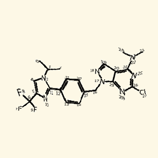 CC(C)n1cc(C(F)(F)F)nc1-c1ccc(Cn2ncc3c(N(C)C)nc(Cl)nc32)cc1